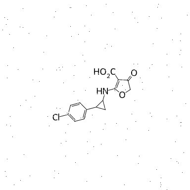 O=C(O)C1=C(NC2CC2c2ccc(Cl)cc2)OCC1=O